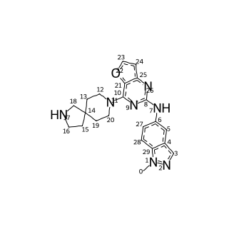 Cn1ncc2cc(Nc3nc(N4CCC5(CCNC5)CC4)c4occc4n3)ccc21